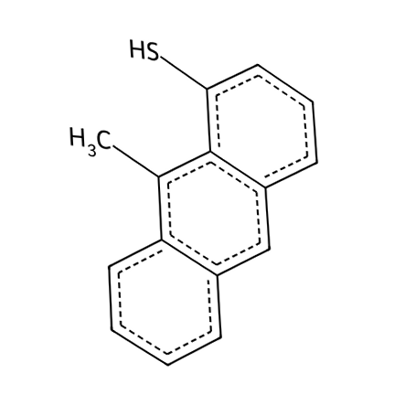 Cc1c2ccccc2cc2cccc(S)c12